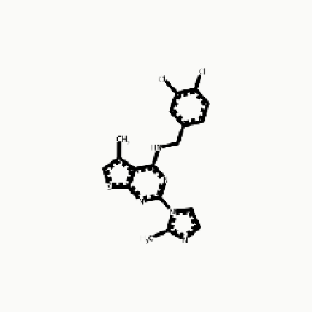 Cc1csc2nc(-n3ccnc3C)nc(NCc3ccc(Cl)c(Cl)c3)c12